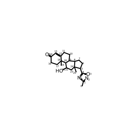 Cc1noc(C2CCC3C4CCC5=CC(=O)CCC5(C)C4C(O)CC23C)n1